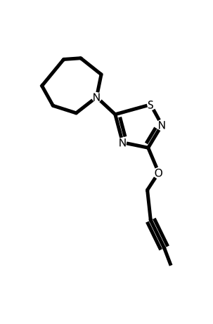 CC#CCOc1nsc(N2CCCCCC2)n1